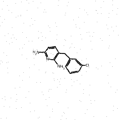 Nc1ccc(Cc2cccc(Cl)c2)c(N)n1